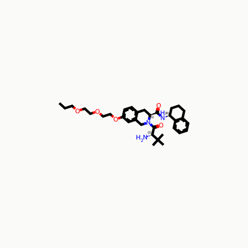 CCCOCCOCCOc1ccc2c(c1)CN(C(=O)[C@@H](N)C(C)(C)C)[C@H](C(=O)N[C@@H]1CCCc3ccccc31)C2